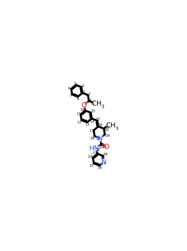 CC(Cc1ccccc1)Oc1cccc(C=C2CCN(C(=O)Nc3cccnc3)CC2C)c1